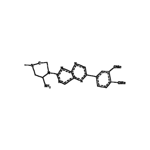 COc1ccc(-c2cnc3nc(N4CCN(C)CC4N)ncc3n2)cc1OC